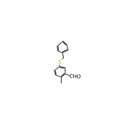 Cc1ccc(SCc2ccccc2)cc1C=O